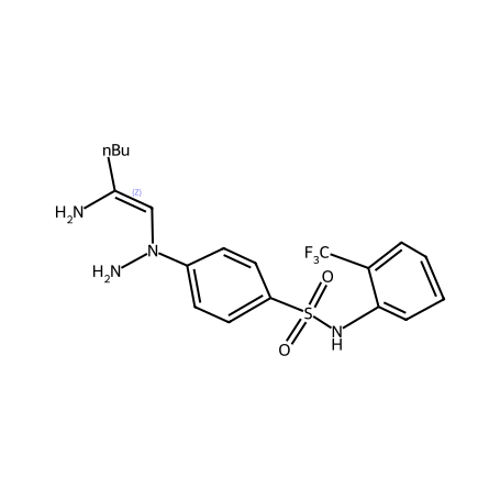 CCCC/C(N)=C/N(N)c1ccc(S(=O)(=O)Nc2ccccc2C(F)(F)F)cc1